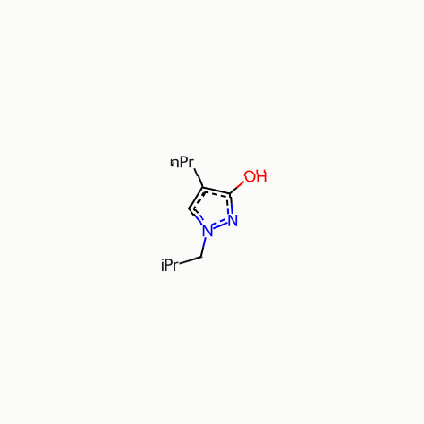 CCCc1cn(CC(C)C)nc1O